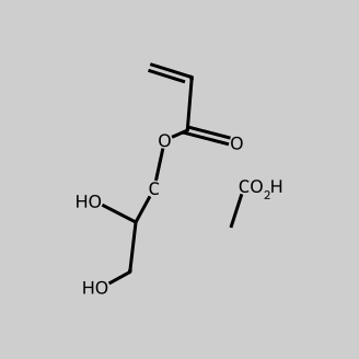 C=CC(=O)OCC(O)CO.CC(=O)O